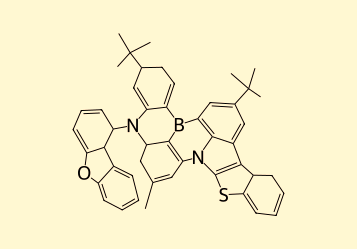 CC1=CC2=C3B(C4=CCC(C(C)(C)C)C=C4N(C4C=CC=C5Oc6ccccc6C54)C3C1)c1cc(C(C)(C)C)cc3c4c(n2c13)SC1=CC=CCC14